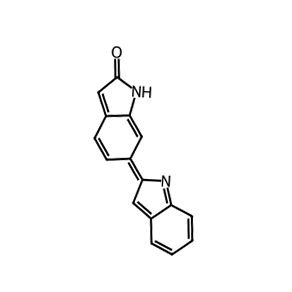 O=C1C=c2ccc(=C3C=c4ccccc4=N3)cc2N1